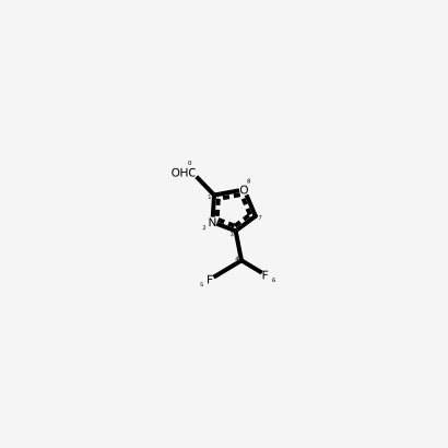 O=Cc1nc(C(F)F)co1